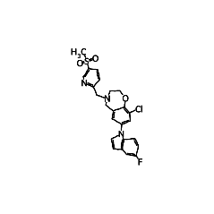 CS(=O)(=O)c1ccc(CN2CCOc3c(Cl)cc(-n4ccc5cc(F)ccc54)cc3C2)nc1